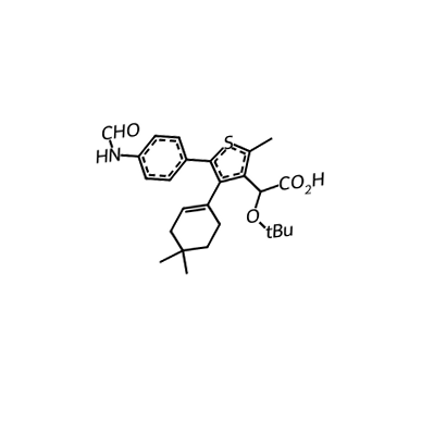 Cc1sc(-c2ccc(NC=O)cc2)c(C2=CCC(C)(C)CC2)c1C(OC(C)(C)C)C(=O)O